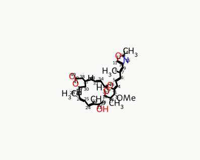 CO[C@@H](/C(C)=C/C=C/C(C)=C/c1coc(C)n1)[C@@H](C)[C@@H]1C[C@H](O)/C(C)=C/C=C/[C@@H](C)[C@H]2C[C@@H](C/C=C/C(=O)O1)CC(=O)O2